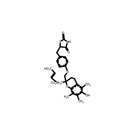 Cc1c(C)c2c(c(C)c1O)CCC(C)(COc1ccc(CC3SC(=O)NC3=O)cc1)O2.O=C(O)C=CC(=O)O